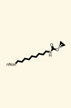 CCCCCCCCCCCCCCCCCCNC(=O)ON1CC1